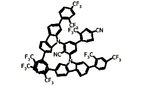 N#Cc1ccc(-c2cc(-n3c4cc(-c5ccccc5C(F)(F)F)ccc4c4ccc(-c5ccc(C(F)(F)F)cc5C(F)(F)F)cc43)c(C#N)c(-n3c4cc(-c5ccc(C(F)(F)F)cc5C(F)(F)F)ccc4c4ccc(-c5ccc(C(F)(F)F)cc5C(F)(F)F)cc43)c2)c(C(F)(F)F)c1